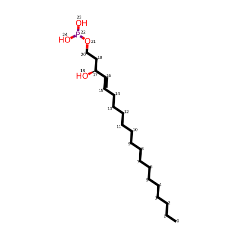 CCCCCCCCCCCCCCC/C=C/[C@@H](O)CCOP(O)O